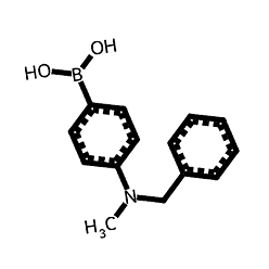 CN(Cc1ccccc1)c1ccc(B(O)O)cc1